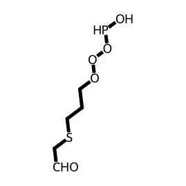 O=CCSCCCOOOPO